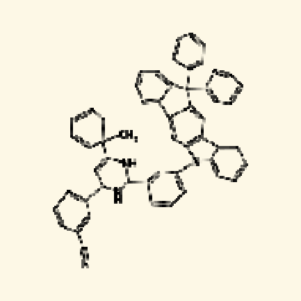 CC1(C2=CC(c3cccc(C#N)c3)NC(c3cccc(-n4c5ccccc5c5cc6c(cc54)-c4ccccc4C6(c4ccccc4)c4ccccc4)c3)N2)C=CC=CC1